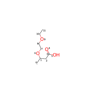 [CH2]C(CC(=O)O)OCCOCC